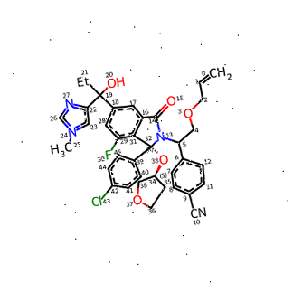 C=CCOCC(c1ccc(C#N)cc1)N1C(=O)c2cc(C(O)(CC)c3cn(C)cn3)cc(F)c2[C@]1(O[C@H]1CCOC1)c1ccc(Cl)cc1